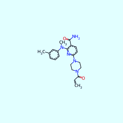 C=CC(=O)N1CCN(c2ccc(C(N)=O)c(N(C)c3cccc(C)c3)n2)CC1